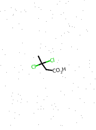 CC(Cl)(Cl)CC(=O)O